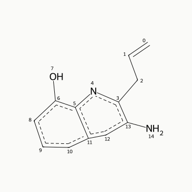 C=CCc1nc2c(O)cccc2cc1N